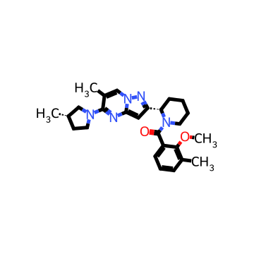 COc1c(C)cccc1C(=O)N1CCCC[C@H]1c1cc2nc(N3CC[C@H](C)C3)c(C)cn2n1